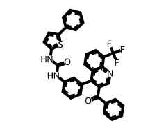 O=C(Nc1cccc(-c2c(C(=O)c3ccccc3)cnc3c(C(F)(F)F)cccc23)c1)Nc1ccc(-c2ccccc2)s1